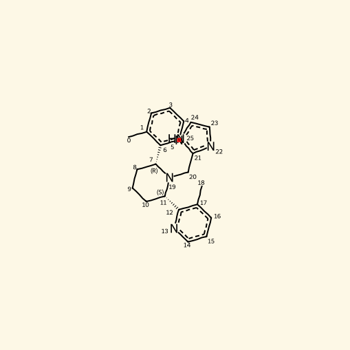 Cc1cccnc1[C@H]1CCC[C@@H](c2ncccc2C)N1Cc1ncc[nH]1